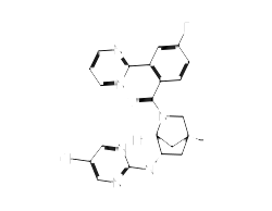 O=C(c1ccc(F)cc1-c1ncccn1)N1C[C@@H]2C[C@@H](Nc3ncc(Cl)cn3)[C@@H]1C2